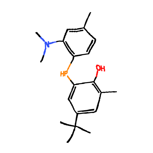 Cc1ccc(Pc2cc(C(C)(C)C)cc(C)c2O)c(N(C)C)c1